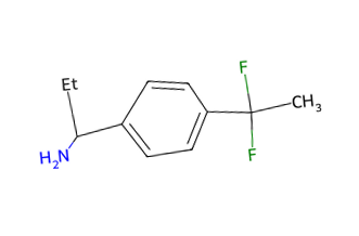 CCC(N)c1ccc(C(C)(F)F)cc1